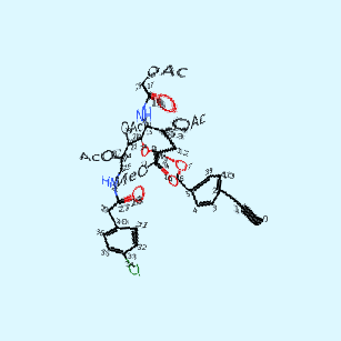 C#Cc1ccc(CO[C@]2(C(=O)OC)C[C@H](OC(C)=O)[C@@H](NC(=O)COC(C)=O)[C@H]([C@H](OC(C)=O)[C@@H](CNC(=O)Cc3ccc(Cl)cc3)OC(C)=O)O2)cc1